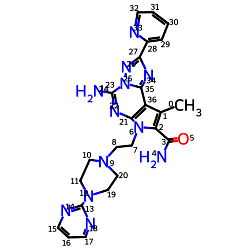 Cc1c(C(N)=O)n(CCN2CCN(c3ncccn3)CC2)c2nc(N)n3nc(-c4ccccn4)nc3c12